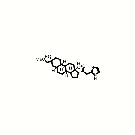 COC[C@@]1(O)CC[C@H]2[C@H](CC[C@@H]3[C@@H]2CC[C@]2(C)[C@@H](C(=O)Cc4ncc[nH]4)CC[C@@H]32)C1